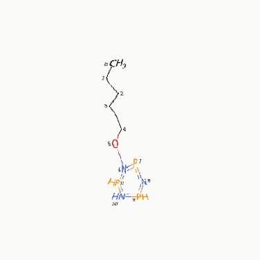 CCCCCOn1pn[pH][nH][pH]1